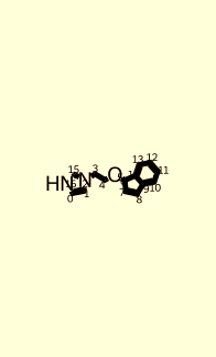 C1=CN(CCOC2C=Cc3ccccc32)CN1